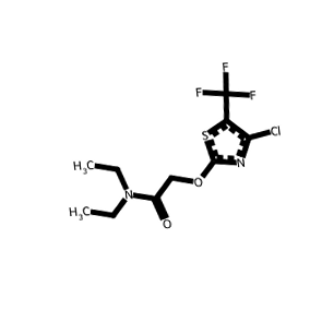 CCN(CC)C(=O)COc1nc(Cl)c(C(F)(F)F)s1